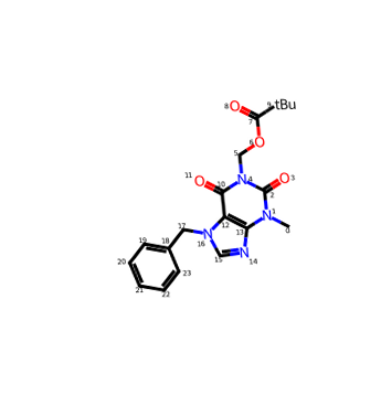 Cn1c(=O)n(COC(=O)C(C)(C)C)c(=O)c2c1ncn2Cc1ccccc1